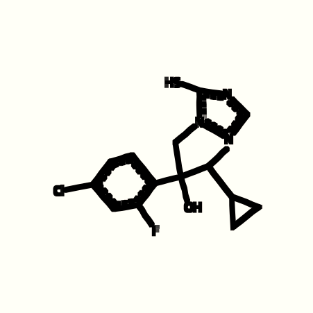 CC(C1CC1)C(O)(Cn1ncnc1S)c1ccc(Cl)cc1F